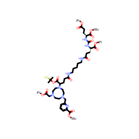 CC(C)OC(=O)CC[C@H](NC(=O)N[C@@H](CCC(=O)NCCCCCNC(=O)CCC(C(=O)OC(C)(C)S)N1CCN(CC(=O)OC(C)C)CCN(Cc2cccc(C(=O)OC(C)(C)C)n2)CC1)C(=O)OC(C)C)C(=O)OC(C)(C)C